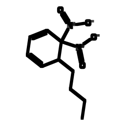 CCCCC1C=CC=CC1([N+](=O)[O-])[N+](=O)[O-]